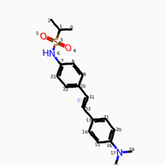 CC(C)S(=O)(=O)Nc1ccc(/C=C/c2ccc(N(C)C)cc2)cc1